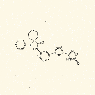 O=C(Nc1cccc(-c2csc(-c3noc(=O)[nH]3)c2)c1)C1(Oc2ccccc2)CCCCC1